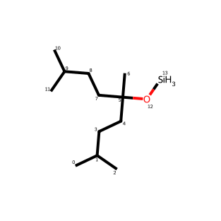 CC(C)CCC(C)(CCC(C)C)O[SiH3]